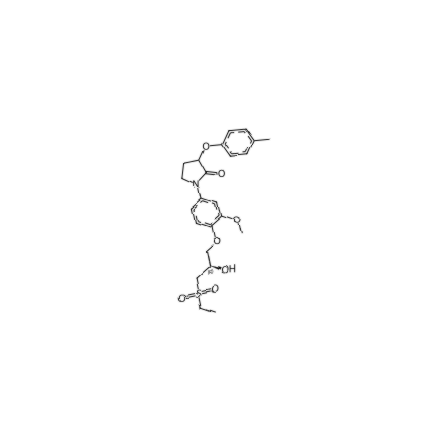 CCS(=O)(=O)C[C@H](O)COc1ccc(N2CCC(Oc3ccc(C)cc3)C2=O)cc1OC